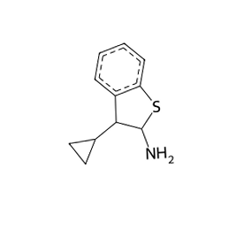 NC1Sc2ccccc2C1C1CC1